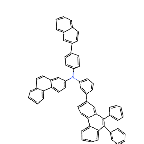 c1ccc(-c2c(-c3ccccc3)c3cc(-c4cccc(N(c5ccc(-c6ccc7ccccc7c6)cc5)c5ccc6c(ccc7ccccc76)c5)c4)ccc3c3ccccc23)cc1